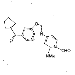 CNC1C=C(N2COc3cc(C(=O)N4CCCC4)cnc32)C=CN1C=O